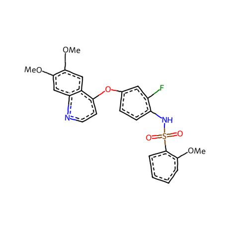 COc1cc2nccc(Oc3ccc(NS(=O)(=O)c4ccccc4OC)c(F)c3)c2cc1OC